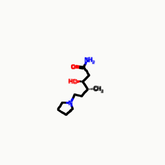 C[C@H](CCN1CCCC1)[C@@H](O)CC(N)=O